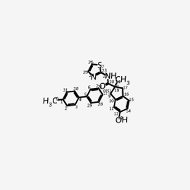 Cc1ccc(-c2ccc([C@H]3c4cc(O)ccc4C[C@@]3(C)C(=O)Nc3nccs3)cc2)cc1